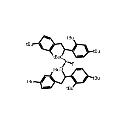 CC(C)(C)c1ccc(CC(OP(F)OC(Cc2ccc(C(C)(C)C)cc2C(C)(C)C)c2ccc(C(C)(C)C)cc2C(C)(C)C)c2ccc(C(C)(C)C)cc2C(C)(C)C)c(C(C)(C)C)c1